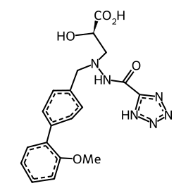 COc1ccccc1-c1ccc(CN(C[C@@H](O)C(=O)O)NC(=O)c2nnn[nH]2)cc1